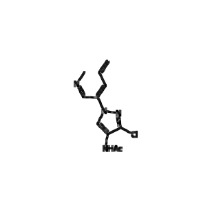 C=C/C=C(\C=N/C)n1cc(NC(C)=O)c(Cl)n1